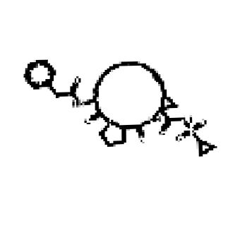 O=C(Cc1ccccc1)NC1CCCCC/C=C\C2CC2(C(=O)NS(=O)(=O)C2CC2)NC(=O)C2CCCN2C1=O